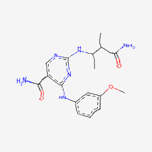 COc1cccc(Nc2nc(NC(C)C(C)C(N)=O)ncc2C(N)=O)c1